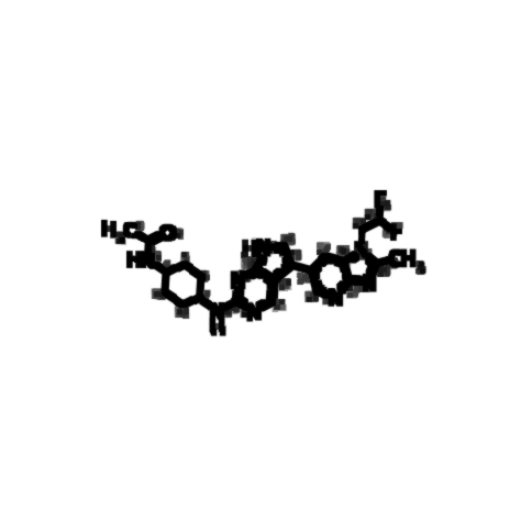 CC(=O)NC1CCC(Nc2ncc3c(-c4cnc5nc(C)n(CC(F)F)c5c4)c[nH]c3n2)CC1